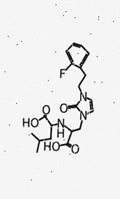 CC(C)CC(NC(Cn1ccn(CCc2ccccc2F)c1=O)C(=O)O)C(=O)O